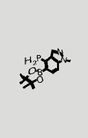 Cn1ncc2c(P)c(B3OC(C)(C)C(C)(C)O3)ccc21